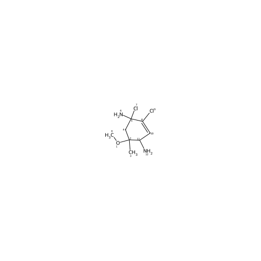 COC1(C)CC(N)(Cl)C(Cl)=CC1N